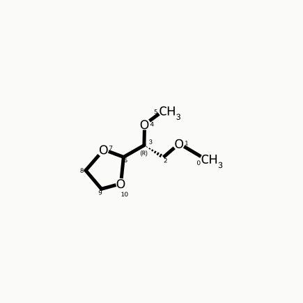 COC[C@@H](OC)C1OCCO1